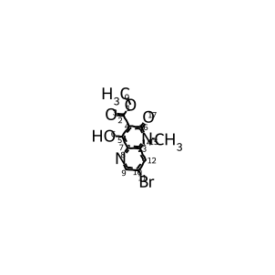 COC(=O)c1c(O)c2ncc(Br)cc2n(C)c1=O